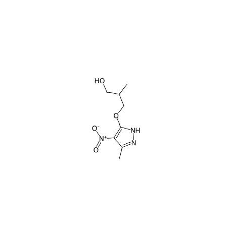 Cc1n[nH]c(OCC(C)CO)c1[N+](=O)[O-]